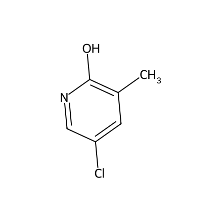 Cc1cc(Cl)cnc1O